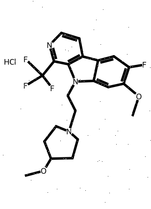 COc1cc2c(cc1F)c1ccnc(C(F)(F)F)c1n2CCN1CCC(OC)CC1.Cl